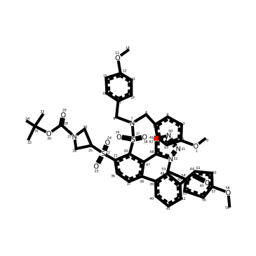 COc1ccc(CN(Cc2ccc(OC)cc2)S(=O)(=O)c2c(S(=O)(=O)C3CN(C(=O)OC(C)(C)C)C3)ccc(-c3cccc(C=O)c3)c2-c2nnnn2Cc2ccc(OC)cc2)cc1